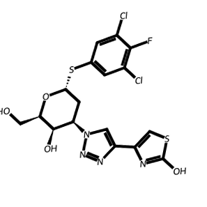 OC[C@H]1O[C@H](Sc2cc(Cl)c(F)c(Cl)c2)C[C@@H](n2cc(-c3csc(O)n3)nn2)[C@H]1O